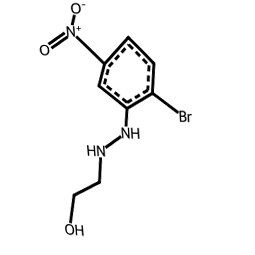 O=[N+]([O-])c1ccc(Br)c(NNCCO)c1